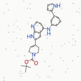 CC(C)(C)OC(=O)N1CC=C(c2cc3c(Nc4cccc(-c5ccc[nH]5)c4)ccnc3[nH]2)CC1